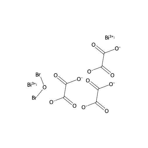 BrOBr.O=C([O-])C(=O)[O-].O=C([O-])C(=O)[O-].O=C([O-])C(=O)[O-].[Bi+3].[Bi+3]